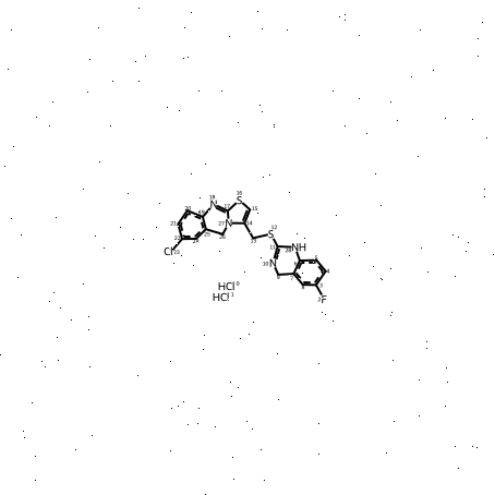 Cl.Cl.Fc1ccc2c(c1)CN=C(SCC1=CSC3=Nc4ccc(Cl)cc4CN13)N2